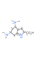 CN(C)c1cc(N(C)C)c2cc(C(=O)O)[nH]c2c1